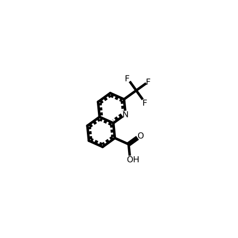 O=C(O)c1cccc2ccc(C(F)(F)F)nc12